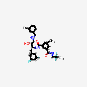 CCc1cccc(CNC[C@@H](O)[C@H](Cc2cc(F)cc(F)c2)NC(=O)c2cc(C)cc(C(=O)NCC(F)(F)C(F)(F)F)c2)c1